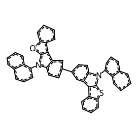 c1ccc2c(-n3c4ccc(-c5ccc6c(c5)c5c7ccccc7sc5n6-c5cccc6ccccc56)cc4c4c5ccccc5oc43)cccc2c1